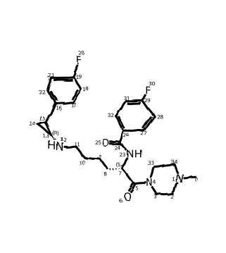 CN1CCN(C(=O)[C@H](CCCCN[C@@H]2CC2c2ccc(F)cc2)NC(=O)c2ccc(F)cc2)CC1